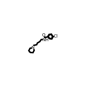 O=C(NCCCCCN1CC[CH]CC1)c1ccc(Cl)cc1